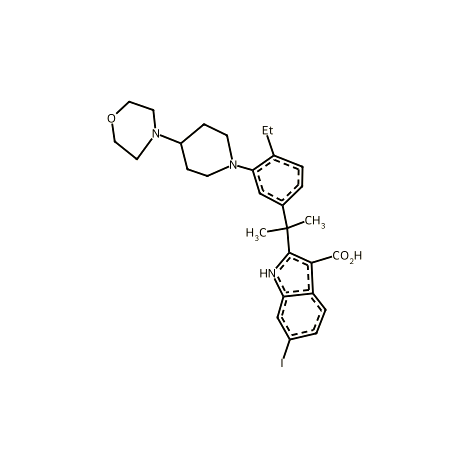 CCc1ccc(C(C)(C)c2[nH]c3cc(I)ccc3c2C(=O)O)cc1N1CCC(N2CCOCC2)CC1